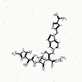 CO.N=C(N)c1coc(Cn2ccc3c[n+](CC4=C(C(=O)[O-])N5C(=O)[C@@H](NC(=O)C(=N)c6nc(N)sc6Cl)[C@H]5SC4)ccc32)c1